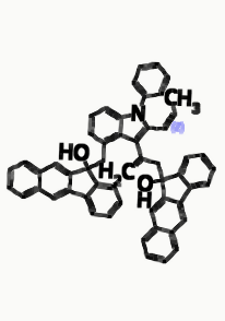 C=C(CC1(O)c2ccccc2-c2cc3ccccc3cc21)c1c(/C=C\C)n(-c2ccccc2)c2cccc(CC3(O)c4ccccc4-c4cc5ccccc5cc43)c12